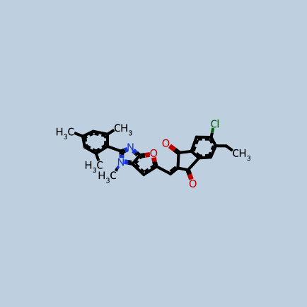 CCc1cc2c(cc1Cl)C(=O)/C(=C\c1cc3c(nc(-c4c(C)cc(C)cc4C)n3C)o1)C2=O